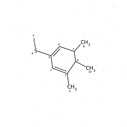 CC1=CC(SI)=CC(C)C1C